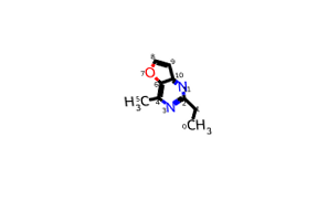 CCc1nc(C)c2occc2n1